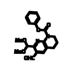 COC(OC)c1nc2c(cc1C=O)CCCN2C(=O)Oc1ccccc1